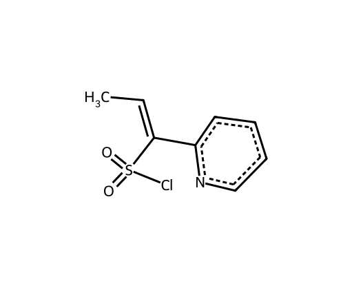 CC=C(c1ccccn1)S(=O)(=O)Cl